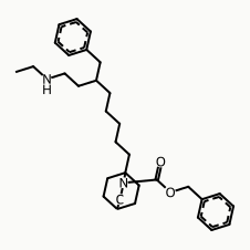 CCNCCC(CCCCCC12CCC(CC1)CN2C(=O)OCc1ccccc1)Cc1ccccc1